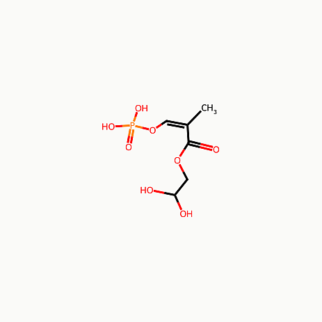 CC(=COP(=O)(O)O)C(=O)OCC(O)O